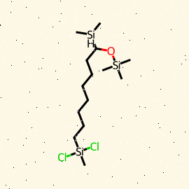 C[SiH](C)C(CCCCCCC[Si](C)(Cl)Cl)O[Si](C)(C)C